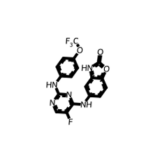 O=c1[nH]c2cc(Nc3nc(Nc4ccc(OC(F)(F)F)cc4)ncc3F)ccc2o1